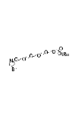 CC(C)(C)OC(=O)COCCOCCOCCOCCOCCOc1cc(Br)ccn1